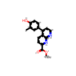 CCCCOC(=O)c1ccc2c(-c3ccc(O)c(C)c3)ccnc2n1